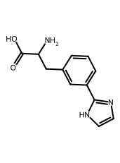 NC(Cc1cccc(-c2ncc[nH]2)c1)C(=O)O